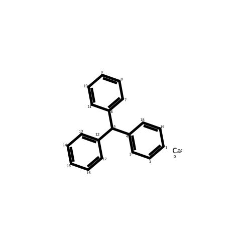 [Ca].c1ccc(C(c2ccccc2)c2ccccc2)cc1